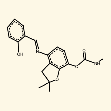 CNC(=O)Oc1ccc(N=Cc2ccccc2O)c2c1OC(C)(C)C2